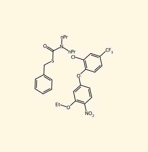 CCCN(CCC)C(=O)SCc1ccccc1.CCOc1cc(Oc2ccc(C(F)(F)F)cc2Cl)ccc1[N+](=O)[O-]